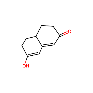 O=C1C=C2C=C(O)CCC2CC1